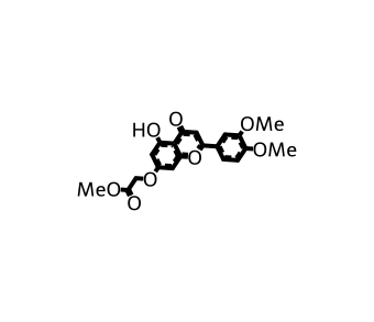 COC(=O)COc1cc(O)c2c(=O)cc(-c3ccc(OC)c(OC)c3)oc2c1